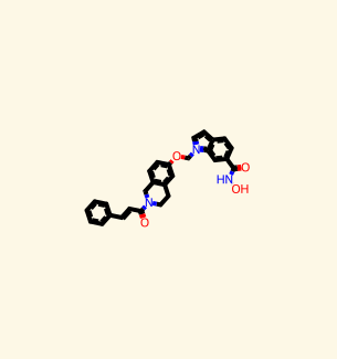 O=C(NO)c1ccc2ccn(COc3ccc4c(c3)CCN(C(=O)/C=C/c3ccccc3)C4)c2c1